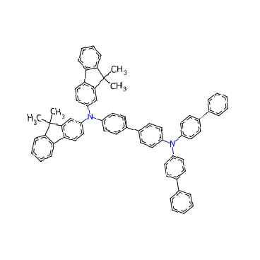 CC1(C)c2ccccc2-c2ccc(N(c3ccc(-c4ccc(N(c5ccc(-c6ccccc6)cc5)c5ccc(-c6ccccc6)cc5)cc4)cc3)c3ccc4c(c3)C(C)(C)c3ccccc3-4)cc21